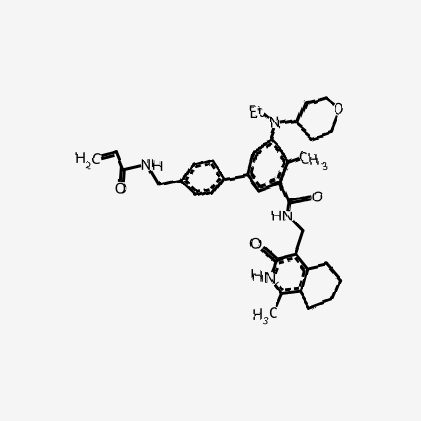 C=CC(=O)NCc1ccc(-c2cc(C(=O)NCc3c4c(c(C)[nH]c3=O)CCCC4)c(C)c(N(CC)C3CCOCC3)c2)cc1